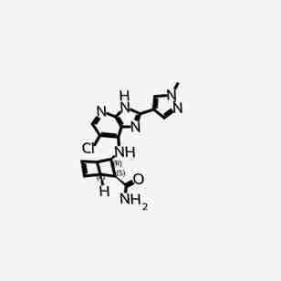 Cn1cc(-c2nc3c(N[C@@H]4C5C=C[C@H]5[C@@H]4C(N)=O)c(Cl)cnc3[nH]2)cn1